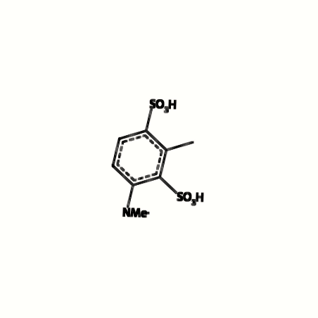 C[N]c1ccc(S(=O)(=O)O)c(C)c1S(=O)(=O)O